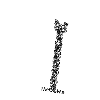 COCCOCCOCCOCCOCCOCCOCCOCCOCCOCCOCCOCCCOc1ccc2cc(Br)ccc2c1-c1c(OCCCOCCOCCOCCOCCOCCOCCOCCOCCOCCOCCOCCOC)ccc2cc(Br)ccc12